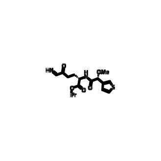 CO[C@@H](C(=O)N[C@@H](CCC(=O)C=N)C(=O)OC(C)C)c1ccsc1